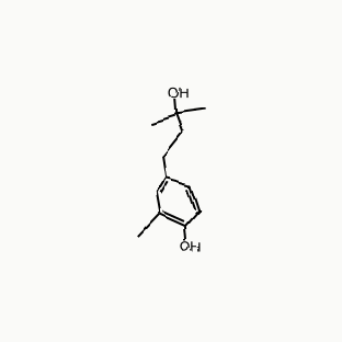 Cc1cc(CCC(C)(C)O)ccc1O